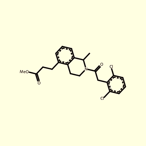 COC(=O)CCc1cccc2c1CCN(C(=O)Cc1c(Cl)cccc1Cl)C2C